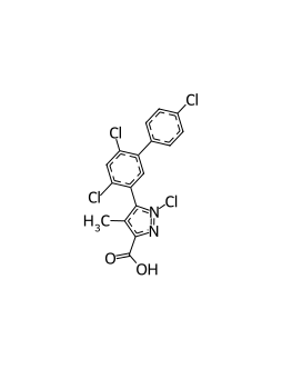 Cc1c(C(=O)O)nn(Cl)c1-c1cc(-c2ccc(Cl)cc2)c(Cl)cc1Cl